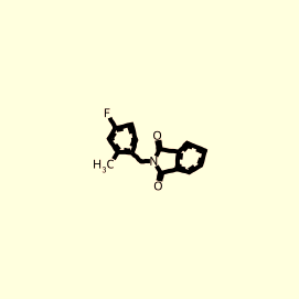 Cc1cc(F)ccc1CN1C(=O)c2ccccc2C1=O